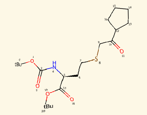 CC(C)(C)OC(=O)N[C@@H](CCSCC(=O)C1CCCC1)C(=O)OC(C)(C)C